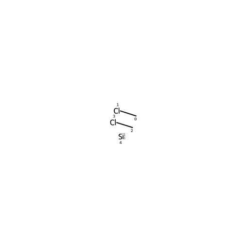 CCl.CCl.[Si]